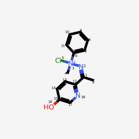 CC(=N[N+](C)(Cl)c1ccccc1)c1ccc(O)cn1